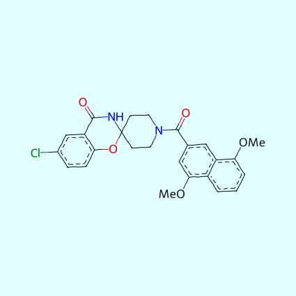 COc1cc(C(=O)N2CCC3(CC2)NC(=O)c2cc(Cl)ccc2O3)cc2c(OC)cccc12